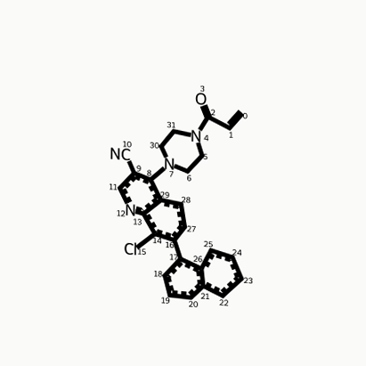 C=CC(=O)N1CCN(c2c(C#N)cnc3c(Cl)c(-c4cccc5ccccc45)ccc23)CC1